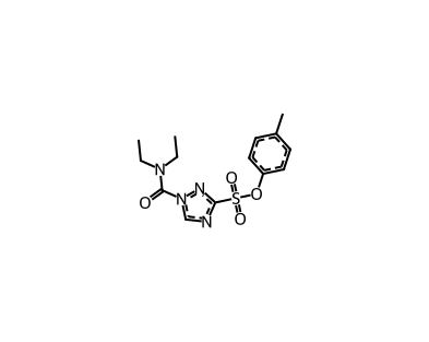 CCN(CC)C(=O)n1cnc(S(=O)(=O)Oc2ccc(C)cc2)n1